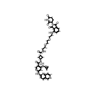 O=C1CCC(N2C(=O)c3cccc(NCCOCCOCCNC(=O)[C@H]4C[C@H](NC(=O)c5cnc(Nc6ccc7cnccc7n6)cc5NC5CC5)C4)c3C2=O)C(=O)N1